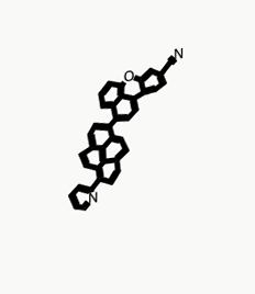 N#Cc1ccc2c(c1)Oc1cccc3c(-c4ccc5ccc6c(-c7ccccn7)ccc7ccc4c5c76)ccc-2c13